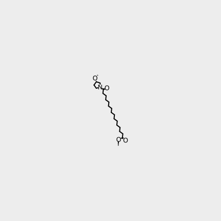 CO[C@H]1CCN(C(=O)CCCCCCCCCCCCCCC(=O)OI)C1